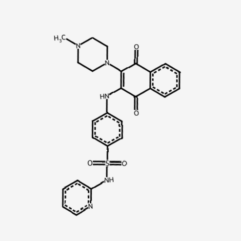 CN1CCN(C2=C(Nc3ccc(S(=O)(=O)Nc4ccccn4)cc3)C(=O)c3ccccc3C2=O)CC1